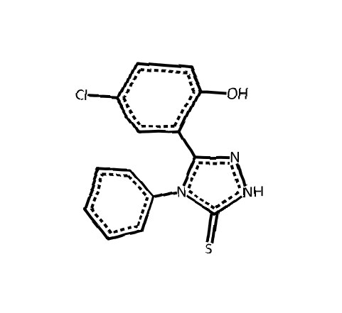 Oc1ccc(Cl)cc1-c1n[nH]c(=S)n1-c1ccccc1